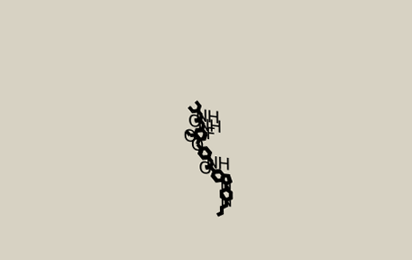 CCCCN1CCC(n2ccc3cc(C(=O)Nc4ccc(Oc5cc(F)c(NC(=O)NC(CC)CC)cc5OC)cc4)ccc32)CC1